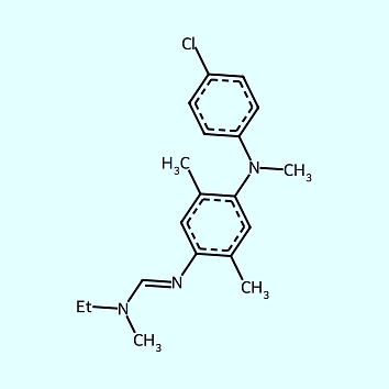 CCN(C)C=Nc1cc(C)c(N(C)c2ccc(Cl)cc2)cc1C